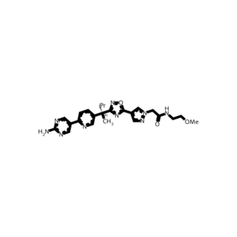 COCCNC(=O)Cn1cc(-c2nc([C@@](C)(c3ccc(-c4cnc(N)nc4)nc3)C(C)C)no2)cn1